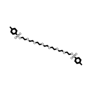 Cc1ccc(S(=O)(=O)OCCOCCOCCOCCOCCOCCOCCOS(=O)(=O)c2ccc(C)cc2)cc1